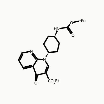 CCOC(=O)c1cn([C@H]2CC[C@H](NC(=O)OC(C)(C)C)CC2)c2ncccc2c1=O